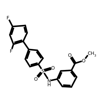 COC(=O)c1cccc(NS(=O)(=O)c2ccc(-c3ccc(F)cc3F)cc2)c1